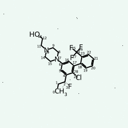 CC[C@@H](F)c1cc(N2CCN(CCO)CC2)cc(-c2ccccc2C(F)(F)F)c1Cl